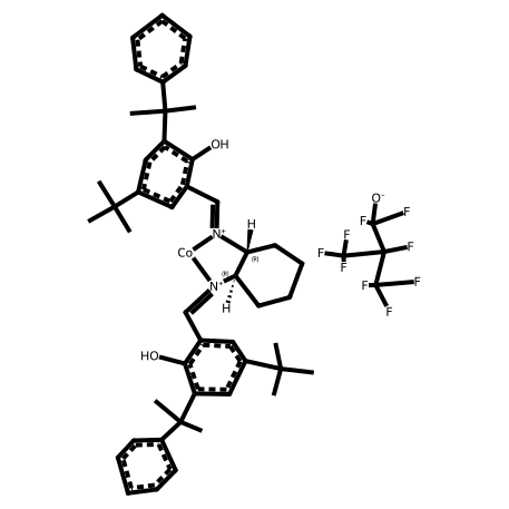 CC(C)(C)c1cc(C=[N+]2[Co][N+](=Cc3cc(C(C)(C)C)cc(C(C)(C)c4ccccc4)c3O)[C@@H]3CCCC[C@H]32)c(O)c(C(C)(C)c2ccccc2)c1.[O-]C(F)(F)C(F)(C(F)(F)F)C(F)(F)F